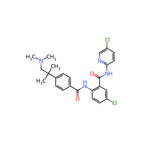 CN(C)CC(C)(C)c1ccc(C(=O)Nc2ccc(Cl)cc2C(=O)Nc2ccc(Cl)cn2)cc1